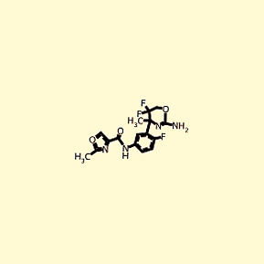 Cc1nc(C(=O)Nc2ccc(F)c(C3(C)N=C(N)OCC3(F)F)c2)co1